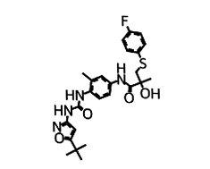 Cc1cc(NC(=O)C(C)(O)CSc2ccc(F)cc2)ccc1NC(=O)Nc1cc(C(C)(C)C)on1